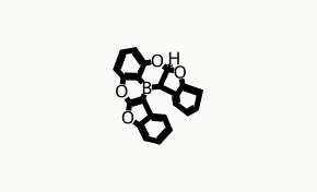 c1ccc2c(c1)O[C@H]1Oc3cccc4c3B(c3c(oc5ccccc35)O4)C21